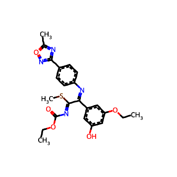 CCOC(=O)N=C(SC)C(=Nc1ccc(-c2noc(C)n2)cc1)c1cc(O)cc(OCC)c1